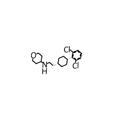 Clc1cccc(Cl)c1[C@H]1CC[C@@H](CCNC2CCOCC2)CC1